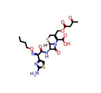 CCCCO/N=C(\C(=O)N[C@@H]1C(=O)N2C(C(=O)O)=C(COC(=O)CC(C)=O)CS[C@H]12)c1csc(N)n1